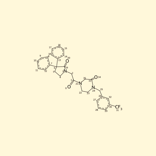 O=C(CN1CCC(c2ccccc2)(c2ccccc2)C1=O)N1CCN(Cc2cccc(C(F)(F)F)c2)C(=O)C1